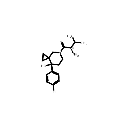 CC(C)[C@@H](N)C(=O)N1CCC(O)(c2ccc(Cl)cc2)C2(CC2)C1